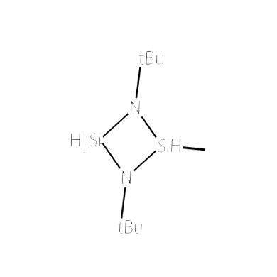 C[SiH]1N(C(C)(C)C)[SiH2]N1C(C)(C)C